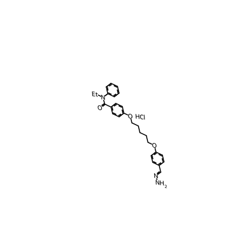 CCN(C(=O)c1ccc(OCCCCCOc2ccc(C=NN)cc2)cc1)c1ccccc1.Cl